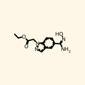 CCOC(=O)Cn1ncc2cc(/C(N)=N\O)ccc21